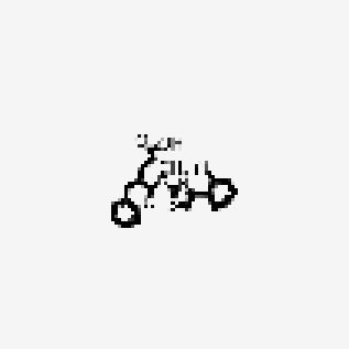 CN(C(=O)C(CCC(=O)O)Cc1ccccc1)c1nc(-c2ccccc2Cl)cs1